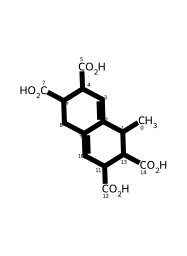 CC1C2=CC(C(=O)O)C(C(=O)O)CC2=CC(C(=O)O)C1C(=O)O